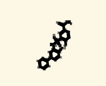 NC(=O)c1ccc(F)c(S(=O)(=O)Nc2cc(-c3ccccc3)ccc2F)c1